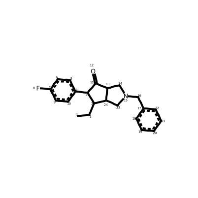 CCC1C(c2ccc(F)cc2)C(=O)C2CN(Cc3ccccc3)CC21